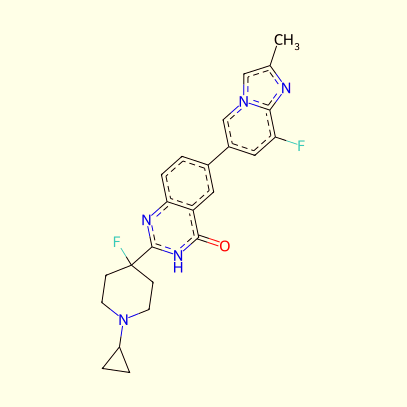 Cc1cn2cc(-c3ccc4nc(C5(F)CCN(C6CC6)CC5)[nH]c(=O)c4c3)cc(F)c2n1